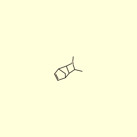 CC1C2C3C=CC(C3)C2N1C